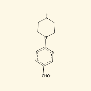 O=[C]c1ccc(N2CCNCC2)nc1